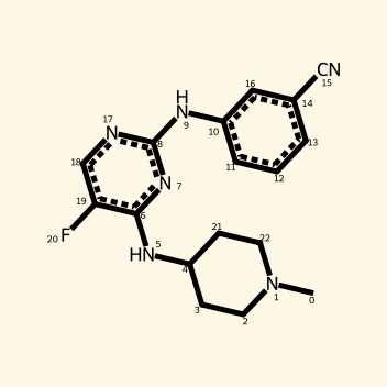 CN1CCC(Nc2nc(Nc3cccc(C#N)c3)ncc2F)CC1